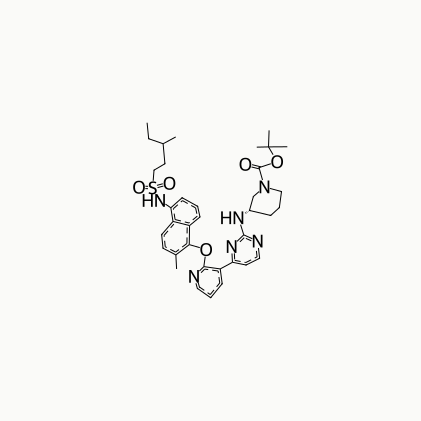 CCC(C)CCS(=O)(=O)Nc1cccc2c(Oc3ncccc3-c3ccnc(N[C@H]4CCCN(C(=O)OC(C)(C)C)C4)n3)c(C)ccc12